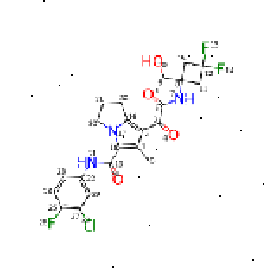 Cc1c(C(=O)C(=O)NC2(CO)CC(F)(F)C2)c2n(c1C(=O)Nc1ccc(F)c(Cl)c1)CCC2